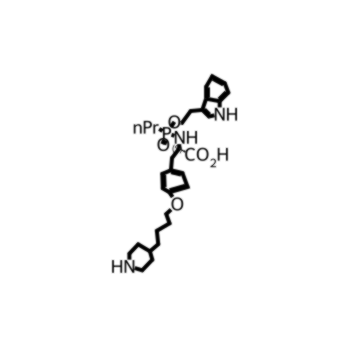 CCCP(=O)(N[C@@H](Cc1ccc(OCCCCC2CCNCC2)cc1)C(=O)O)OCCc1c[nH]c2ccccc12